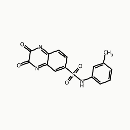 Cc1cccc(NS(=O)(=O)c2ccc3c(c2)=NC(=O)C(=O)N=3)c1